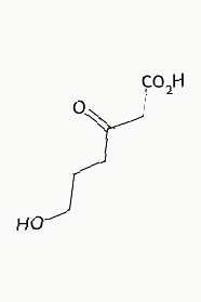 O=C(O)CC(=O)CCCO